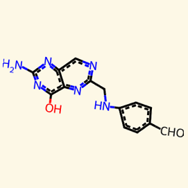 Nc1nc(O)c2nc(CNc3ccc(C=O)cc3)ncc2n1